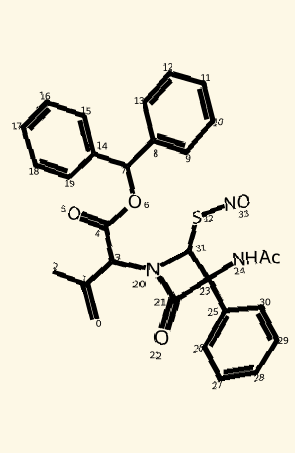 C=C(C)C(C(=O)OC(c1ccccc1)c1ccccc1)N1C(=O)C(NC(C)=O)(c2ccccc2)C1SN=O